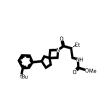 CC[C@H](CNC(=O)OC)C(=O)N1CC2(CCC(c3cccc(C(C)(C)C)c3)C2)C1